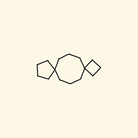 [CH]1CCCC12CCCC1(CCC2)CCC1